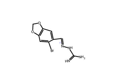 N=C(N)N/N=C/c1cc2c(cc1Br)OCO2